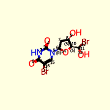 O=c1[nH]c(=O)n([C@H]2C[C@H](O)[C@@H](C(O)Br)O2)cc1Br